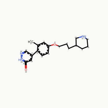 Cc1cc(OCCCC2CCCNC2)ccc1-c1cn[nH]c(=O)c1